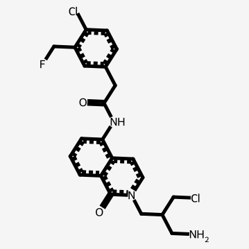 NCC(CCl)Cn1ccc2c(NC(=O)Cc3ccc(Cl)c(CF)c3)cccc2c1=O